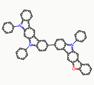 c1ccc(-n2c3ccc(-c4ccc5c(c4)c4cc6c7ccccc7n(-c7ccccc7)c6cc4n5-c4ccccc4)cc3c3cc4oc5ccccc5c4cc32)cc1